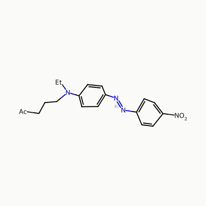 CCN(CCCC(C)=O)c1ccc(/N=N/c2ccc([N+](=O)[O-])cc2)cc1